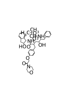 CC(C)(C)OC(=O)NC(Cc1ccccc1)C(O)CC(Cc1ccc(OCC(=O)N2CCOCC2)cc1)C(=O)N[C@H]1c2ccccc2C[C@@H]1O